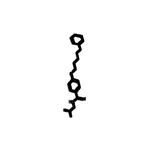 CC(C)CNC(=N)c1ccc(OCCCCCc2ccccc2)cc1